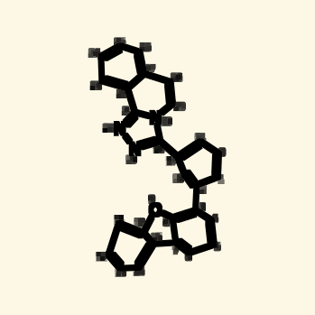 c1cc(-c2cccc3c2oc2ccccc23)cc(-c2nnc3c4ccccc4ccn23)c1